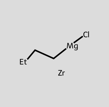 CCC[CH2][Mg][Cl].[Zr]